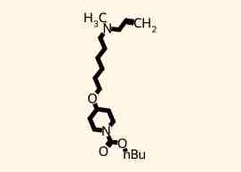 C=CCN(C)CCCCCCOC1CCN(C(=O)OCCCC)CC1